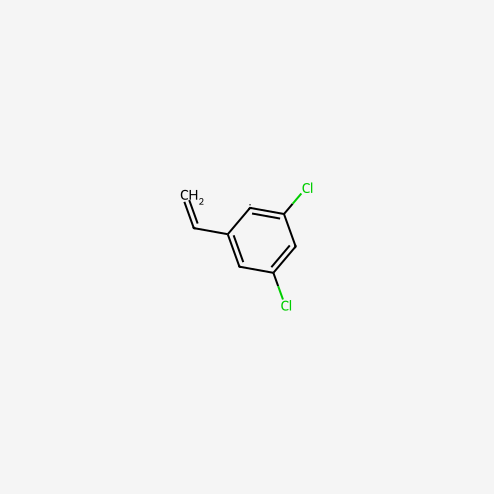 C=Cc1[c]c(Cl)cc(Cl)c1